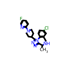 CC1NCc2cc(Cl)ccc2-n2c(C3CCN(c4ccc(F)cn4)CC3)nnc21